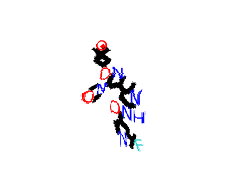 Cc1ncc(NC(=O)c2ccnc(C(C)(C)F)c2)cc1-c1cnc(OC2CC3(COC3)C2)c(N2CCOCC2)c1